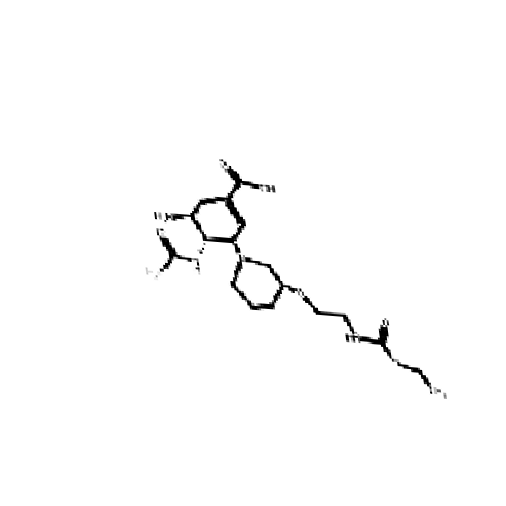 CCOC(=O)NCCO[C@H]1CCCN([C@@H]2C=C(C(=O)O)C[C@H](N)[C@H]2NC(C)=O)C1